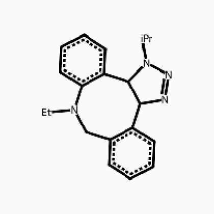 CCN1Cc2ccccc2C2N=NN(C(C)C)C2c2ccccc21